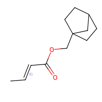 C/C=C/C(=O)OCC12CCC(CC1)C2